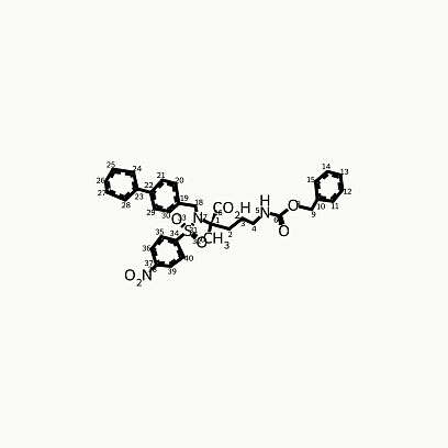 C[C@](CCCNC(=O)OCc1ccccc1)(C(=O)O)N(Cc1ccc(-c2ccccc2)cc1)S(=O)(=O)c1ccc([N+](=O)[O-])cc1